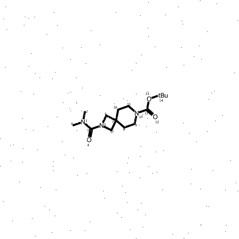 CN(C)C(=O)N1CC2(CCN(C(=O)OC(C)(C)C)CC2)C1